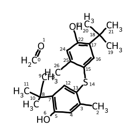 C=O.Cc1cc(O)c(C(C)(C)C)cc1Sc1cc(C(C)(C)C)c(O)cc1C